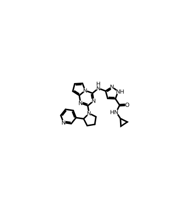 O=C(NC1CC1)c1cc(Nc2nc(N3CCCC3c3cccnc3)nc3cccn23)n[nH]1